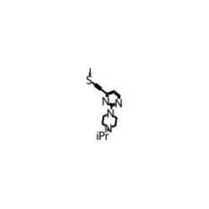 CC(C)N1CCN(c2nccc(C#CSI)n2)CC1